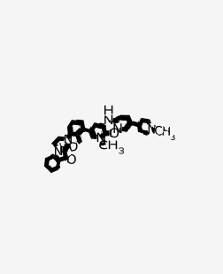 CN1CCC(c2ccc(Nc3cc(-c4cccc(N5C=C6C(=O)C7=C(CCCC7)N6CC5)c4CO)cn(C)c3=O)nc2)CC1